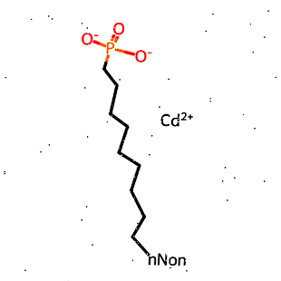 CCCCCCCCCCCCCCCCCCP(=O)([O-])[O-].[Cd+2]